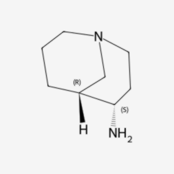 N[C@H]1CCN2CCC[C@@H]1C2